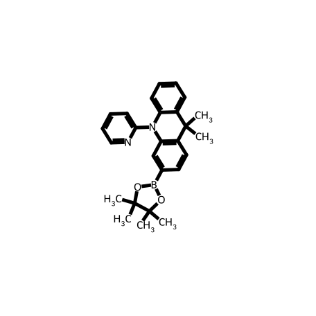 CC1(C)c2ccccc2N(c2ccccn2)c2cc(B3OC(C)(C)C(C)(C)O3)ccc21